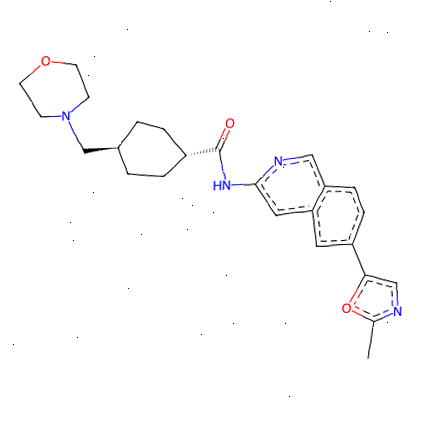 Cc1ncc(-c2ccc3cnc(NC(=O)[C@H]4CC[C@H](CN5CCOCC5)CC4)cc3c2)o1